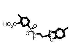 Cc1ccc2oc(CCNS(=O)(=O)c3ccc(C)c(C(=O)O)c3)nc2c1